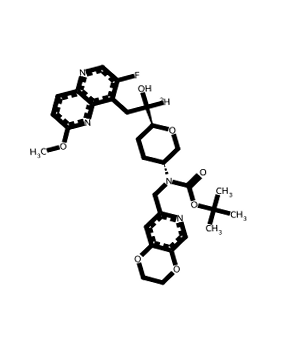 [2H]C(O)(Cc1c(F)cnc2ccc(OC)nc12)[C@@H]1CC[C@@H](N(Cc2cc3c(cn2)OCCO3)C(=O)OC(C)(C)C)CO1